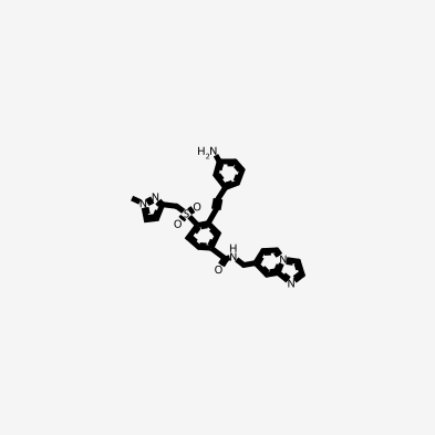 Cn1ccc(CS(=O)(=O)c2ccc(C(=O)NCc3ccn4ccnc4c3)cc2C#Cc2cccc(N)c2)n1